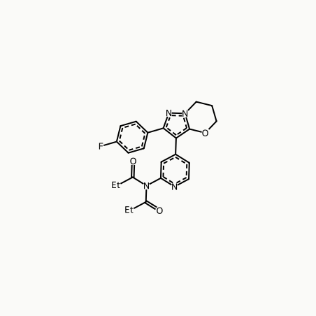 CCC(=O)N(C(=O)CC)c1cc(-c2c(-c3ccc(F)cc3)nn3c2OCCC3)ccn1